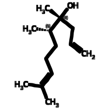 C=CC[C@@](C)(O)[C@@H](C)CCC=C(C)C